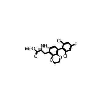 COC(=O)[C@@H](N)Cc1ccc(-c2c(Cl)cc(F)cc2Cl)c2c1OCCO2